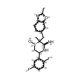 Cc1nc2ccc(CC3(C)C(=N)NC(c4cc(F)ccc4F)C[S+]3[O-])cc2o1